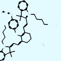 CC1(C)C(=CC=C2CCCC(C=CC3=[N+](CCCCS(=O)(=O)O)c4ccccc4C3(C)C)=C2Oc2ccc(N=C=S)cc2)N(CCCCS(=O)(=O)O)c2ccccc21.[Na+]